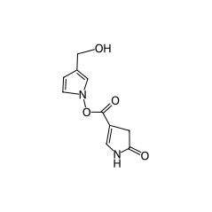 O=C1CC(C(=O)On2ccc(CO)c2)=CN1